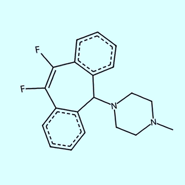 CN1CCN(C2c3ccccc3C(F)=C(F)c3ccccc32)CC1